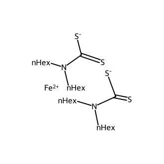 CCCCCCN(CCCCCC)C(=S)[S-].CCCCCCN(CCCCCC)C(=S)[S-].[Fe+2]